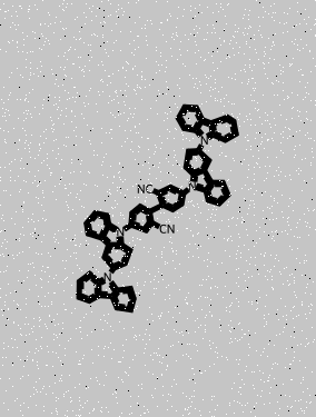 N#Cc1cc(-n2c3ccccc3c3cc(-n4c5ccccc5c5ccccc54)ccc32)ccc1-c1ccc(-n2c3ccccc3c3cc(-n4c5ccccc5c5ccccc54)ccc32)cc1C#N